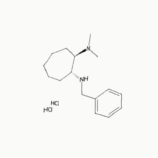 CN(C)[C@@H]1CCCCC[C@H]1NCc1ccccc1.Cl.Cl